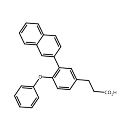 O=C(O)CCc1ccc(Oc2ccccc2)c(-c2ccc3ccccc3c2)c1